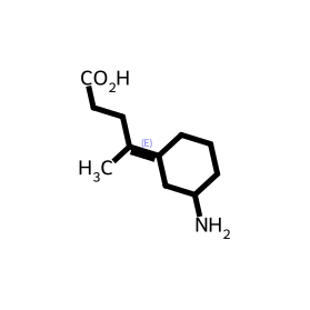 C/C(CCC(=O)O)=C1/CCCC(N)C1